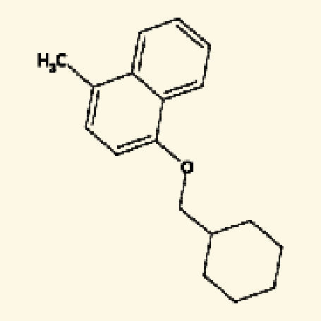 Cc1ccc(OCC2CCCCC2)c2ccccc12